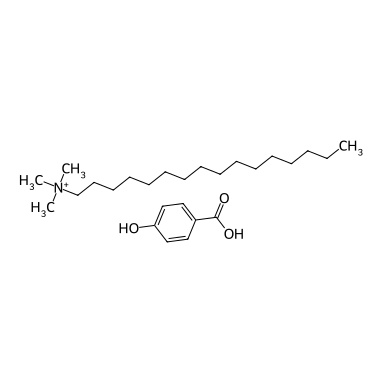 CCCCCCCCCCCCCCCC[N+](C)(C)C.O=C(O)c1ccc(O)cc1